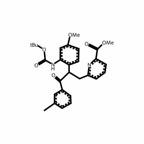 COC(=O)c1cccc(CC(C(=O)c2cccc(C)c2)c2ccc(OC)cc2NC(=O)OC(C)(C)C)n1